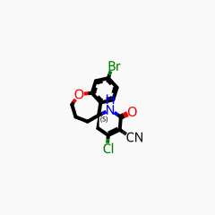 N#CC1=C(Cl)C[C@]2(CCCOc3cc(Br)ccc32)NC1=O